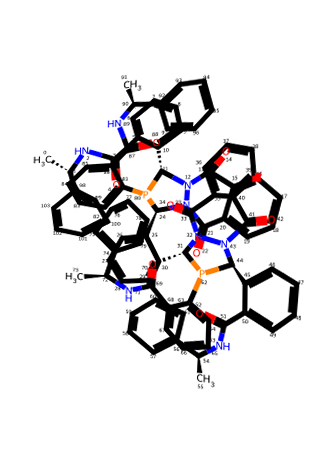 C[C@H](NC(=O)c1ccccc1[C@@H]1n2c(=O)c3ccccc3c(=O)n2[C@@H](c2ccccc2[C@@H]2n3c(=O)c4ccccc4c(=O)n3[C@@H](c3ccccc3C(=O)N[C@@H](C)c3ccccc3)P2c2ccccc2C(=O)N[C@@H](C)c2ccccc2)P1c1ccccc1C(=O)N[C@@H](C)c1ccccc1)c1ccccc1